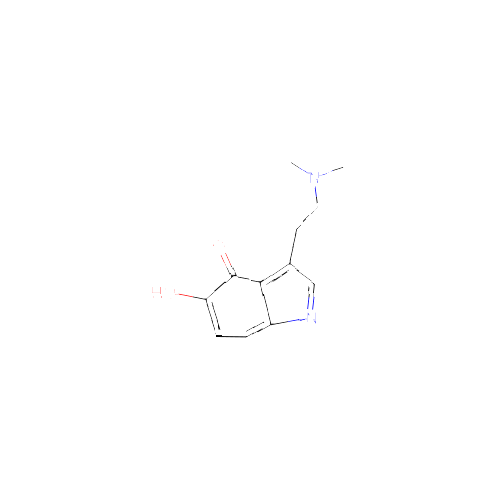 CN(C)CCC1=C2C(=O)C(O)=CC=C2N=C1